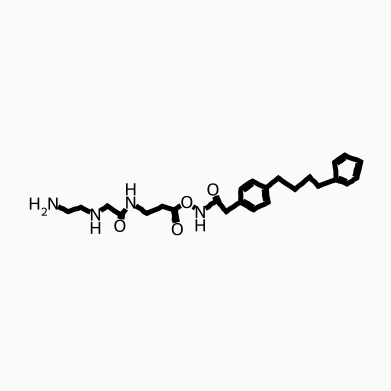 NCCNCC(=O)NCCC(=O)ONC(=O)Cc1ccc(CCCCc2ccccc2)cc1